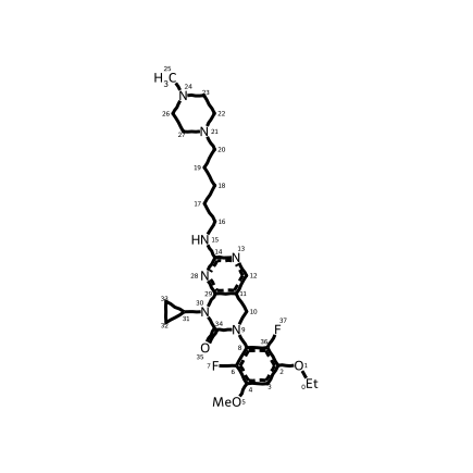 CCOc1cc(OC)c(F)c(N2Cc3cnc(NCCCCCN4CCN(C)CC4)nc3N(C3CC3)C2=O)c1F